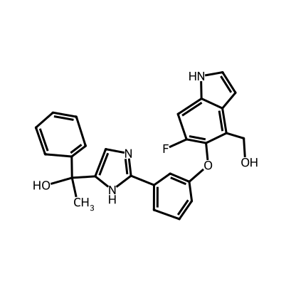 CC(O)(c1ccccc1)c1cnc(-c2cccc(Oc3c(F)cc4[nH]ccc4c3CO)c2)[nH]1